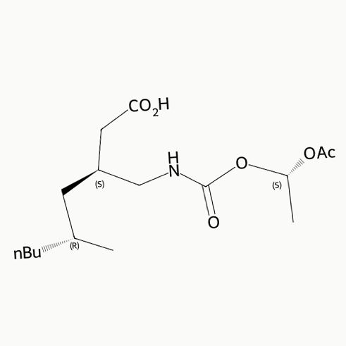 CCCC[C@@H](C)C[C@H](CNC(=O)O[C@@H](C)OC(C)=O)CC(=O)O